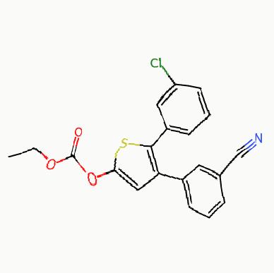 CCOC(=O)Oc1cc(-c2cccc(C#N)c2)c(-c2cccc(Cl)c2)s1